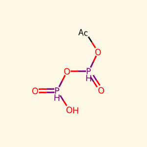 CC(=O)O[PH](=O)O[PH](=O)O